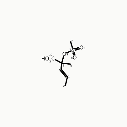 CC=CC(C)(OS(C)(=O)=O)C(=O)O